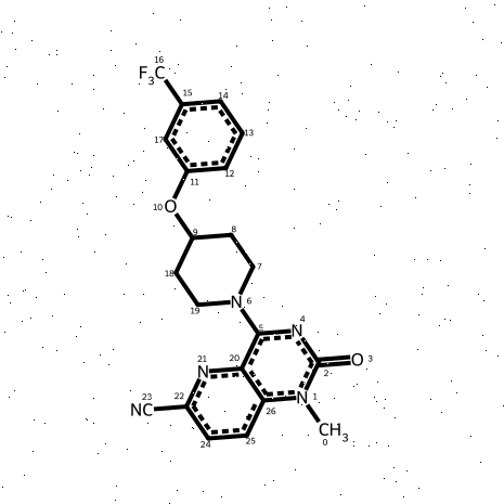 Cn1c(=O)nc(N2CCC(Oc3cccc(C(F)(F)F)c3)CC2)c2nc(C#N)ccc21